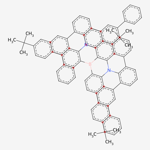 CC(C)(C)c1ccc(-c2ccc3c(c2)N(c2c(-c4cccc(-c5ccccc5)c4)cccc2-c2cccc(-c4ccccc4)c2)c2cc(C(C)(C)C)cc4c2B3c2ccc(-c3ccc(C(C)(C)C)cc3)cc2N4c2c(-c3cccc(-c4ccccc4)c3)cccc2-c2cccc(-c3ccccc3)c2)cc1